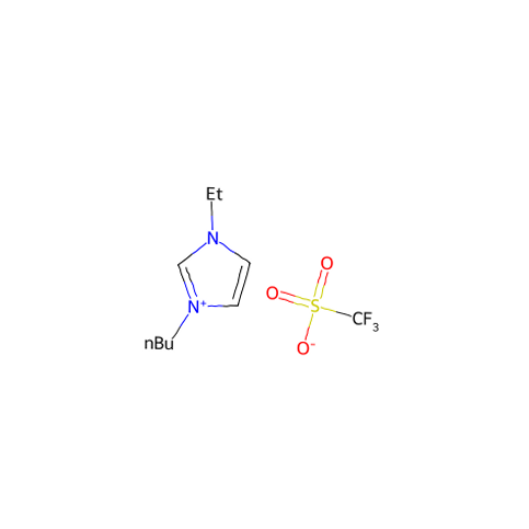 CCCC[n+]1ccn(CC)c1.O=S(=O)([O-])C(F)(F)F